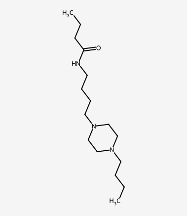 CCCCN1CCN(CCCCNC(=O)CCC)CC1